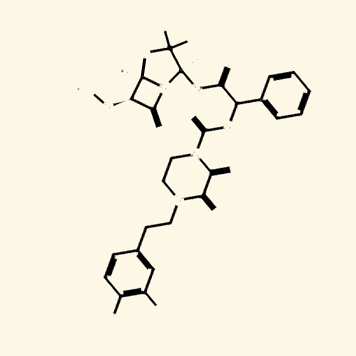 CC1(C)S[C@@H]2[C@H](NC=O)C(=O)N2[C@@]1(NC(=O)C(NC(=O)N1CCN(CCc2ccc(O)c(O)c2)C(=O)C1=O)c1ccccc1)C(=O)O